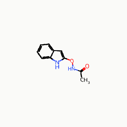 CC(=O)NOc1cc2ccccc2[nH]1